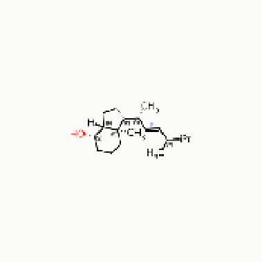 CC(C)[C@@H](C)/C=C/[C@@H](C)[C@H]1CC[C@H]2[C@@H](O)CCC[C@]12C